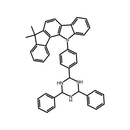 CC1(C)c2ccccc2-c2c1ccc1c3ccccc3n(-c3ccc(C4NC(c5ccccc5)NC(c5ccccc5)N4)cc3)c21